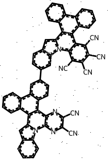 N#Cc1nc2c3c4ccc(-c5ccc6cc7c8c9ccccc9c9ccccc9c8c8c(C#N)c(C#N)c(C#N)c(C#N)c8n7c6c5)cc4c4ccccc4c3c3cc4ccccc4n3c2nc1C#N